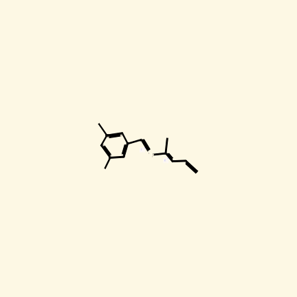 C=C/C=C(C)/N=C/c1cc(C)cc(C)c1